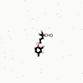 Cc1ccc(OCCCC(C)(C)C=O)c(C)c1